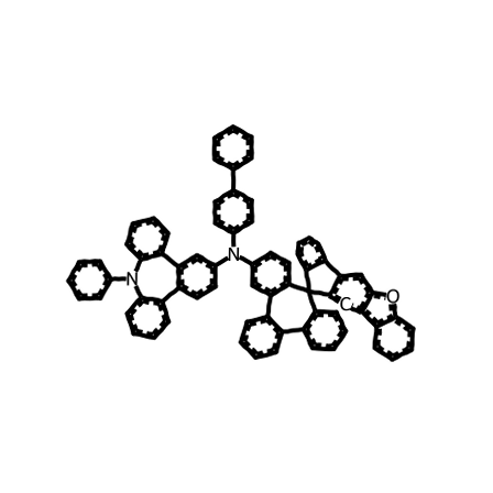 c1ccc(-c2ccc(N(c3ccc4c(c3)-c3ccccc3N(c3ccccc3)c3ccccc3-4)c3ccc4c(c3)-c3ccccc3-c3ccccc3C43c4ccccc4-c4cc5oc6ccccc6c5cc43)cc2)cc1